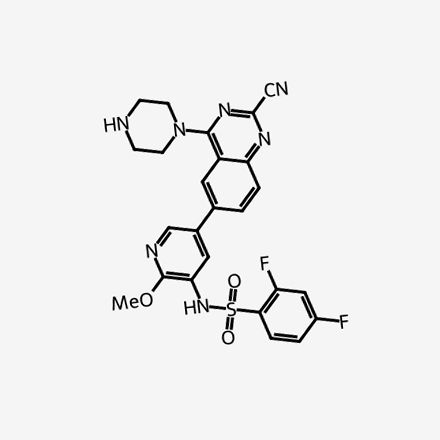 COc1ncc(-c2ccc3nc(C#N)nc(N4CCNCC4)c3c2)cc1NS(=O)(=O)c1ccc(F)cc1F